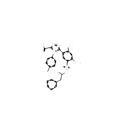 Cc1ccc(-n2c(C(N)=O)nnc2-c2cc(S(=O)(=O)NC(O)Cc3ccccc3)c(O)cc2O)cc1